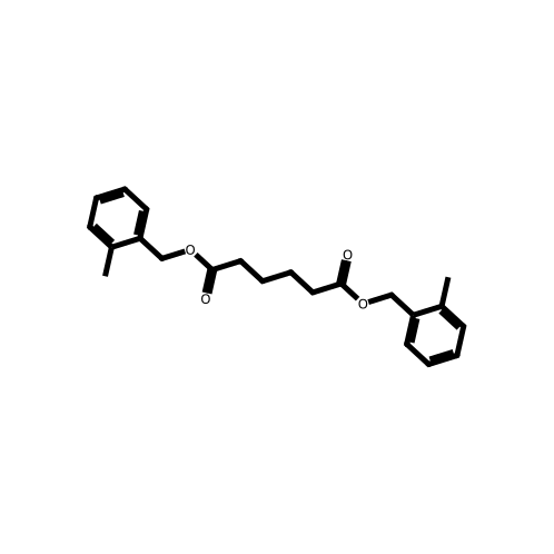 Cc1ccccc1COC(=O)CCCCC(=O)OCc1ccccc1C